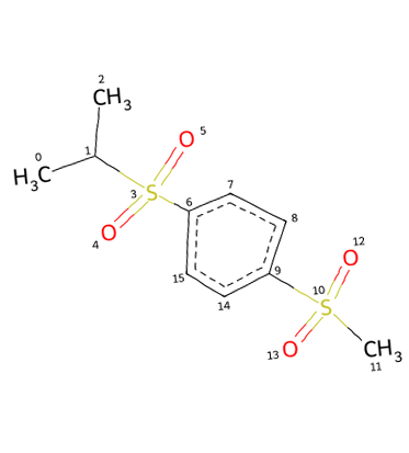 CC(C)S(=O)(=O)c1ccc(S(C)(=O)=O)cc1